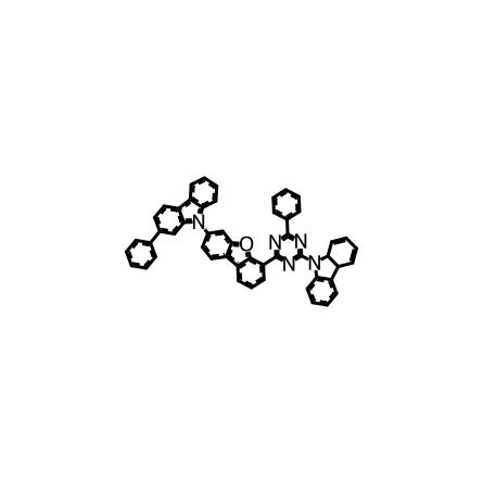 C1=CC2c3ccccc3N(c3nc(-c4ccccc4)nc(-c4cccc5c4oc4cc(-n6c7ccccc7c7ccc(-c8ccccc8)cc76)ccc45)n3)C2C=C1